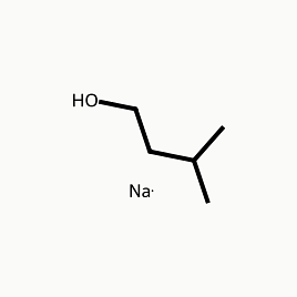 CC(C)CCO.[Na]